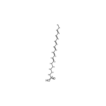 CCC=CC=CC=CC=CC=CC=CCCCCCC(=O)O